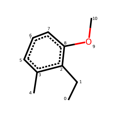 CCc1c(C)c[c]cc1OC